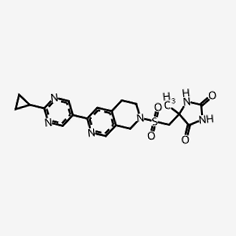 CC1(CS(=O)(=O)N2CCc3cc(-c4cnc(C5CC5)nc4)ncc3C2)NC(=O)NC1=O